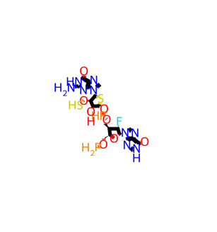 Nc1nc2c(ncn2[C@@H]2SC(OPOC[C@H]3[C@H](F)[C@H](n4cnc5c(=O)[nH]cnc54)O[C@@H]3COP)[C@@H](O)[C@H]2OS)c(=O)[nH]1